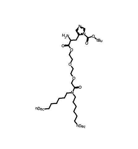 CCCCCCCCCCCCCCCCN(CCCCCCCCCCCCCCCC)C(=O)COCCOCCOC(=O)C(N)Cc1cncn1C(=O)OC(C)(C)C